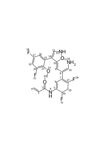 C=CC(=O)NC1=CC(C(/C=C2\ONC=C2c2cc(F)cc(F)c2OC)=C/N)=C(F)CC1F